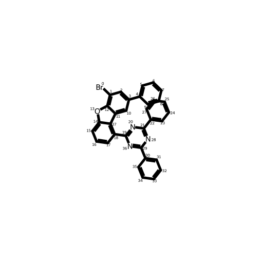 Brc1cc(-c2ccccc2)cc2c1oc1cccc(-c3nc(-c4ccccc4)nc(-c4ccccc4)n3)c12